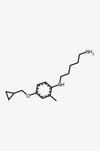 Cc1cc(OCC2CC2)ccc1NCCCCCN